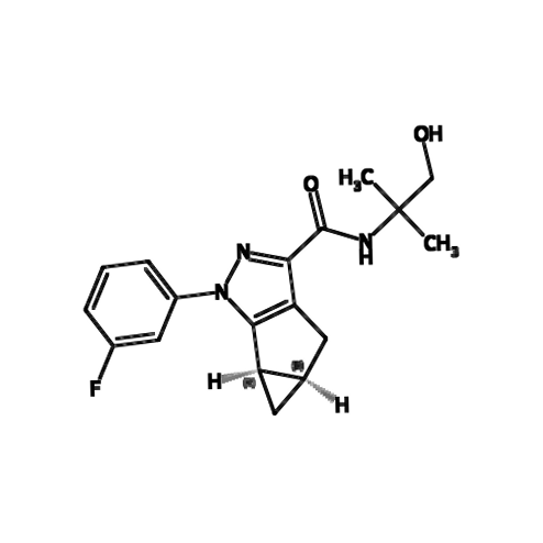 CC(C)(CO)NC(=O)c1nn(-c2cccc(F)c2)c2c1C[C@H]1C[C@@H]21